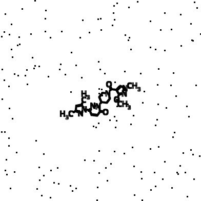 COc1nn(C)cc1C(=O)N1CCC(n2nc(-n3nc(C)cc3C)ccc2=O)CC1